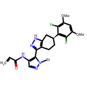 C=CC(=O)Nc1cnn(CC)c1-c1n[nH]c2c1CC[C@H](c1c(F)c(OC)cc(OC)c1F)C2